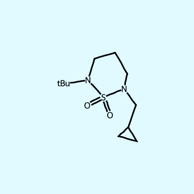 CC(C)(C)N1CCCN(CC2CC2)S1(=O)=O